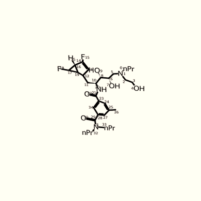 CCCN(CCO)C[C@H](O)[C@@H](O)[C@H](CC1C=C(F)[C@H]2C(F)C12)NC(=O)c1cc(C)cc(C(=O)N(CCC)CCC)c1